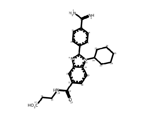 N=C(N)c1ccc(-c2nc3cc(C(=O)NCCC(=O)O)ccc3n2C2CCCCC2)cc1